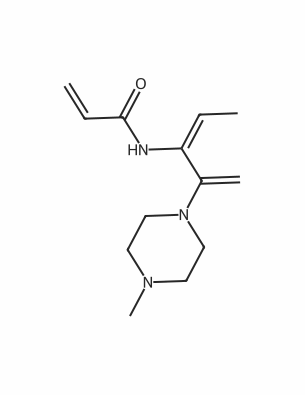 C=CC(=O)N/C(=C/C)C(=C)N1CCN(C)CC1